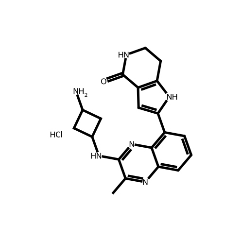 Cc1nc2cccc(-c3cc4c([nH]3)CCNC4=O)c2nc1NC1CC(N)C1.Cl